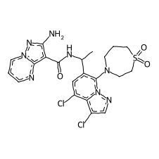 CC(NC(=O)c1c(N)nn2cccnc12)c1cc(Cl)c2c(Cl)cnn2c1N1CCCS(=O)(=O)CC1